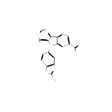 Nc1nc2cc(-n3c4cc(C(=O)O)ccc4c4ncnc(N)c43)ccc2o1